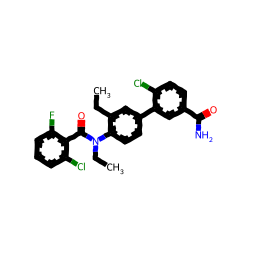 CCc1cc(-c2cc(C(N)=O)ccc2Cl)ccc1N(CC)C(=O)c1c(F)cccc1Cl